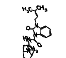 CC(C)=CCn1c(=O)n(C(=O)NC2CC3CCC(C2)N3C)c2ccccc21